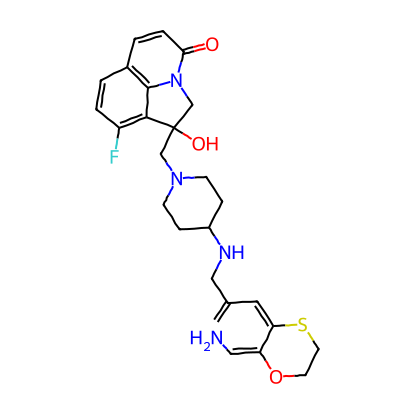 C=C(/C=C1/SCCO/C1=C/N)CNC1CCN(CC2(O)Cn3c(=O)ccc4ccc(F)c2c43)CC1